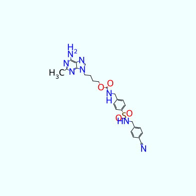 Cc1nc(N)c2ncn(CCCCOC(=O)NCc3ccc(S(=O)(=O)NCc4ccc(C#N)cc4)cc3)c2n1